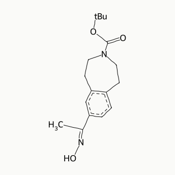 CC(=NO)c1ccc2c(c1)CCN(C(=O)OC(C)(C)C)CC2